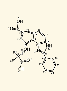 O=C(O)C(F)(F)F.O=C(O)c1cc(O)c2c(ccc3[nH]c(-c4ccccn4)nc32)c1